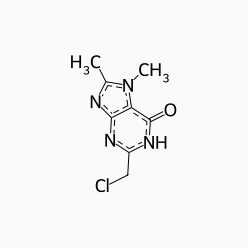 Cc1nc2nc(CCl)[nH]c(=O)c2n1C